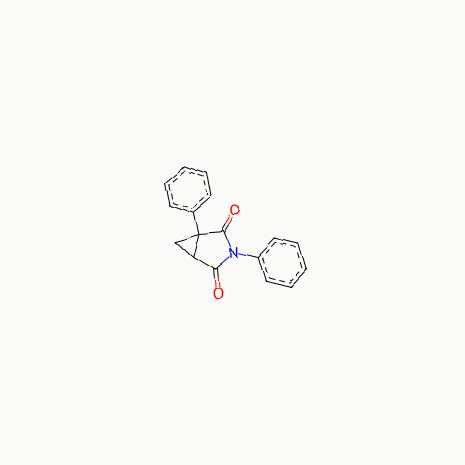 O=C1C2CC2(c2ccccc2)C(=O)N1c1ccccc1